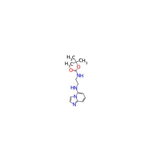 CC(C)(C)OC(=O)NCCNc1cccc2nccn12